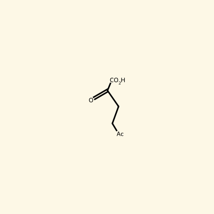 CC(=O)CCC(=O)C(=O)O